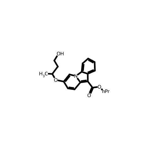 CCCOC(=O)c1c2ccccc2n2cc(OC(C)CCO)ccc12